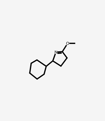 COC1=NC(C2CCCCC2)CC1